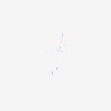 C[C@@H]1CNC[C@H](C)N1CCCOc1cccc2c(N3CCC(=O)NC3=O)nn(C)c12.Cl.Cl